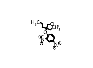 CC[CH]C(CC)(CC)Oc1ccc([N+](=O)[O-])cc1[N+](=O)[O-]